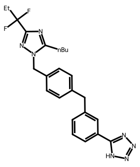 CCCCc1nc(C(F)(F)CC)nn1Cc1ccc(Cc2cccc(-c3nnn[nH]3)c2)cc1